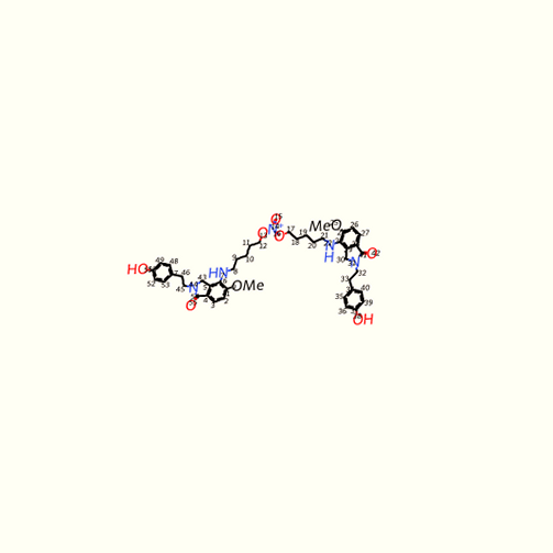 COc1ccc2c(c1NCCCCCO[N+](=O)OCCCCCNc1c(OC)ccc3c1CN(CCc1ccc(O)cc1)C3=O)CN(CCc1ccc(O)cc1)C2=O